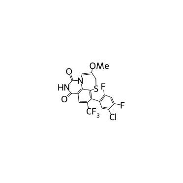 COC1=Cn2c(=O)[nH]c(=O)c3cc(C(F)(F)F)c(-c4cc(Cl)c(F)cc4F)c(c32)SC1